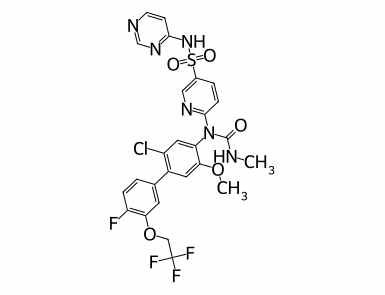 CNC(=O)N(c1ccc(S(=O)(=O)Nc2ccncn2)cn1)c1cc(Cl)c(-c2ccc(F)c(OCC(F)(F)F)c2)cc1OC